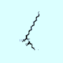 CCCCCCCCCCCC(N)OC(=O)CCC